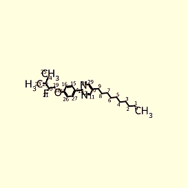 CCCCCCCCCCc1cnc(-c2ccc(OCC(F)C(C)CC)cc2)nc1